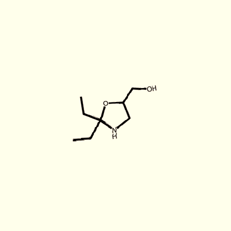 CCC1(CC)NCC(CO)O1